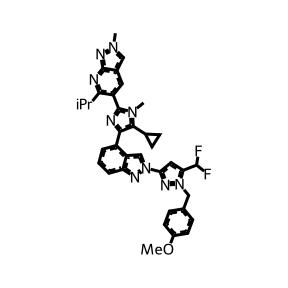 COc1ccc(Cn2nc(-n3cc4c(-c5nc(-c6cc7cn(C)nc7nc6C(C)C)n(C)c5C5CC5)cccc4n3)cc2C(F)F)cc1